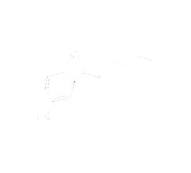 CCOCCCC1(F)C=C(N)C=CC1N